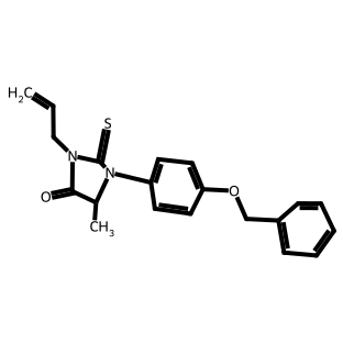 C=CCN1C(=O)C(C)N(c2ccc(OCc3ccccc3)cc2)C1=S